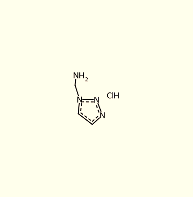 Cl.NCn1ccnn1